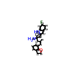 CC(Cc1cccc2c1OCC2)CC(N)(Cc1cc2ccc(F)cc2[nH]1)C(F)(F)F